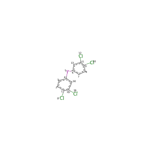 Clc1ccc([I+]c2ccc(Cl)c(Cl)c2)cc1Cl